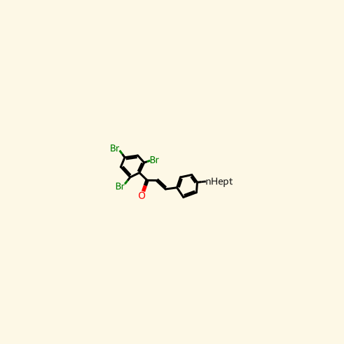 CCCCCCCc1ccc(C=CC(=O)c2c(Br)cc(Br)cc2Br)cc1